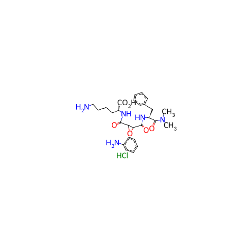 CN(C)C(=O)[C@H](Cc1ccccc1)NC(=O)C1OC1C(=O)N[C@@H](CCCCN)C(=O)O.Cl.Nc1ccccc1